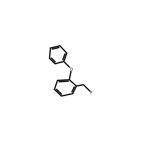 FCc1cc[c]cc1Oc1ccccc1